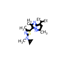 CCC(CC)c1cc(C)nn2c(-c3sc(N(C)C4CC4)nc3C)c(C)nc12